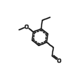 CCc1cc(CC=O)ccc1OC